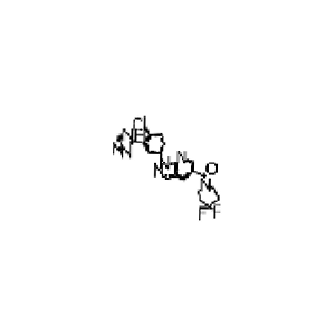 O=C(c1cnc2c(cnn2-c2ccc(Cl)c(-c3nnc[nH]3)c2)c1)N1CCC(F)(F)CC1